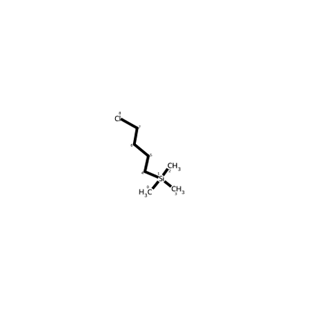 C[Si](C)(C)CCCCCl